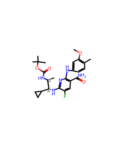 COc1cc(Nc2nc(N[C@H](C3CC3)[C@H](C)NC(=O)OC(C)(C)C)c(F)cc2C(N)=O)ccc1C